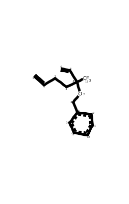 C=CCCC(C=C)(OCc1ccccc1)C(F)(F)F